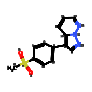 CS(=O)(=O)c1ccc(-c2cnn3ncccc23)cc1